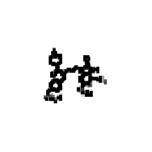 CCCCOc1nc(N)c2[nH]c(=O)n(CCCN(Cc3ccc(CC(=O)O)cc3)C(=O)C3CCN(C)CC3)c2n1